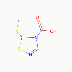 CSC1SN=CN1C(=O)O